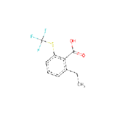 CCc1cccc(SC(F)(F)F)c1C(=O)O